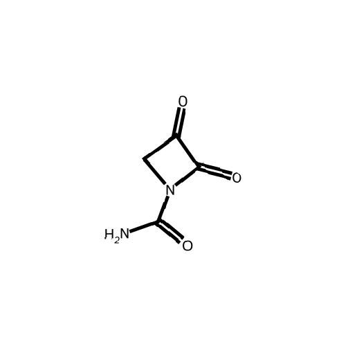 NC(=O)N1CC(=O)C1=O